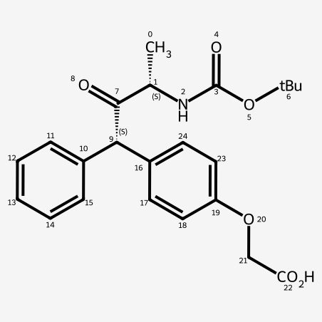 C[C@H](NC(=O)OC(C)(C)C)C(=O)[C@@H](c1ccccc1)c1ccc(OCC(=O)O)cc1